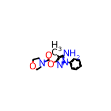 Cc1c(OC(=O)N2CCOCC2)nn(-c2ccccc2)c1N